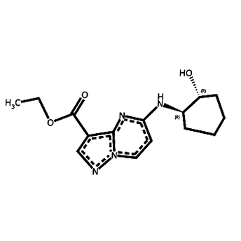 CCOC(=O)c1cnn2ccc(N[C@@H]3CCCC[C@H]3O)nc12